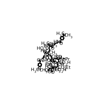 CCOC(=O)C(C(CC(C)(C)C1C(=O)OC(=O)C1C)C(=O)O)C(C)(C)CC(C(=O)O)C(C(=O)NCC(C)C)C(C)(C)CC1C(=O)N(CC(C)C)C(=O)C1C(C)(C)CC1C(=O)N(CCCNC(=O)c2ccc(N(C)C)cc2)C(=O)C1C(C)(C)CC(C(=O)O)C(C(=O)NCCCNC(=O)c1ccc(N(C)C)cc1)C(C)(C)CC